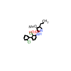 C=CCc1cnc(NC2(B(O)O)C=CC=C(c3ccccc3Cl)C2Cl)cc1OC